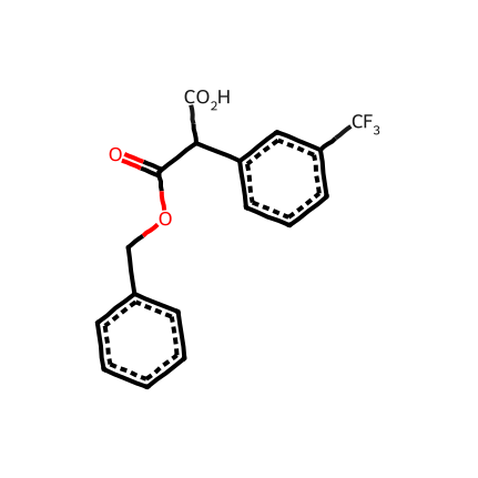 O=C(O)C(C(=O)OCc1ccccc1)c1cccc(C(F)(F)F)c1